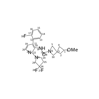 COC1CC2(C1)CN(C(=O)Nc1c(-c3ccccc3F)ccnc1N1CCC(F)(F)C1)C2